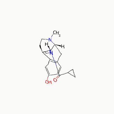 CN1CC[C@]23CCN(C(=O)C4CC4)C[C@H]2[C@H]1Cc1ccc(O)cc13